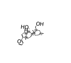 C[C@H]1CC[C@](C)([C@H]2CC[C@]3(C)C(c4ccco4)=CC[C@H]3[C@@H]2CO)[C@@H](CO)C1